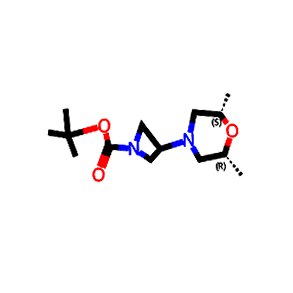 C[C@@H]1CN(C2CN(C(=O)OC(C)(C)C)C2)C[C@H](C)O1